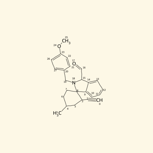 C#CC1CC(C)CCC12c1ccccc1C(C=O)N2Cc1ccc(OC)cc1